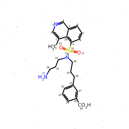 Cc1cncc2cccc(S(=O)(=O)N(CCCN)CCCc3cccc(C(=O)O)c3)c12